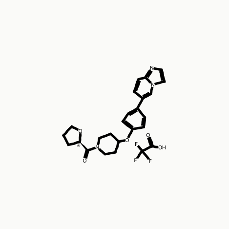 O=C(O)C(F)(F)F.O=C([C@H]1CCCO1)N1CCC(Oc2ccc(-c3ccc4nccn4c3)cc2)CC1